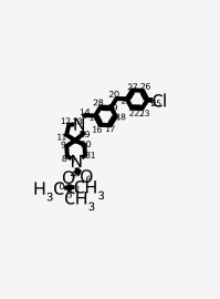 CC(C)(C)OC(=O)N1CCC2(CCN(Cc3cccc(Cc4ccc(Cl)cc4)c3)C2)CC1